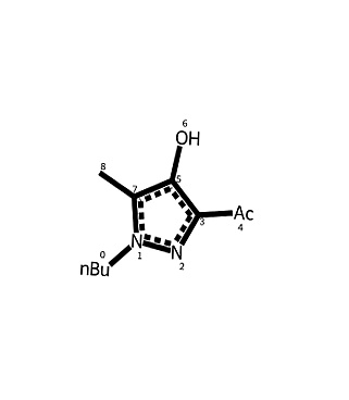 CCCCn1nc(C(C)=O)c(O)c1C